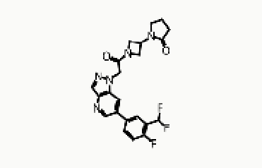 O=C(Cn1ncc2ncc(-c3ccc(F)c(C(F)F)c3)cc21)N1CC(N2CCCC2=O)C1